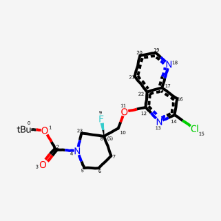 CC(C)(C)OC(=O)N1CCC[C@@](F)(COc2nc(Cl)cc3ncccc23)C1